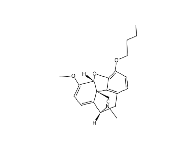 CCCCOc1ccc2c3c1O[C@H]1C(OC)=CC=C4[C@@H](C2)N(C)CC[C@]431